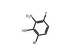 O=[N+]([O-])c1c(F)ccc(Br)c1O